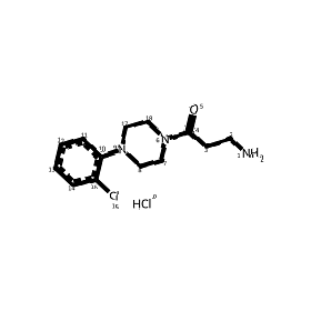 Cl.NCCC(=O)N1CCN(c2ccccc2Cl)CC1